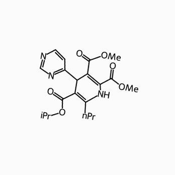 CCCC1=C(C(=O)OC(C)C)C(c2ccncn2)C(C(=O)OC)=C(C(=O)OC)N1